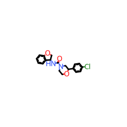 O=C(NC1COc2ccccc21)N1CCOC(c2ccc(Cl)cc2)C1